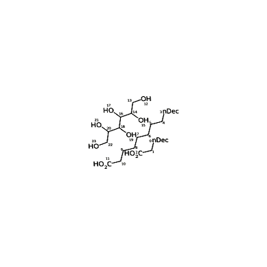 CCCCCCCCCCCC(=O)O.CCCCCCCCCCCCCCCCCC(=O)O.OCC(O)C(O)C(O)C(O)CO